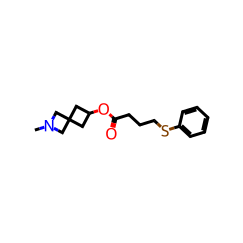 CN1CC2(CC(OC(=O)CCCSc3ccccc3)C2)C1